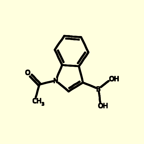 CC(=O)n1cc(B(O)O)c2ccccc21